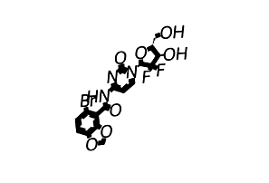 O=C(Nc1ccn([C@@H]2O[C@H](CO)[C@H](O)C2(F)F)c(=O)n1)c1c(Br)ccc2c1OCO2